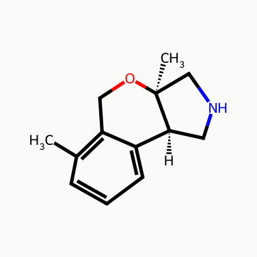 Cc1cccc2c1CO[C@@]1(C)CNC[C@@H]21